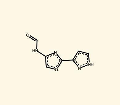 O=CNc1coc(-c2cc[nH]n2)n1